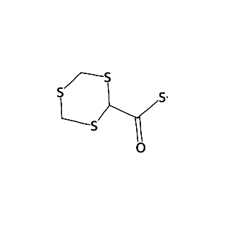 O=C([S])C1SCSCS1